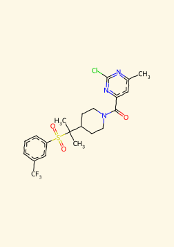 Cc1cc(C(=O)N2CCC(C(C)(C)S(=O)(=O)c3cccc(C(F)(F)F)c3)CC2)nc(Cl)n1